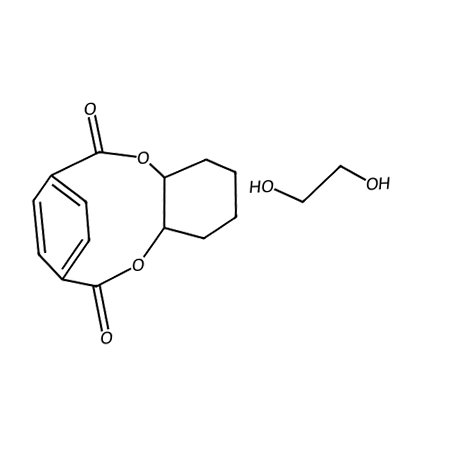 O=C1OC2CCCCC2OC(=O)c2ccc1cc2.OCCO